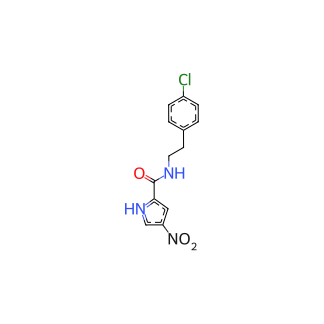 O=C(NCCc1ccc(Cl)cc1)c1cc([N+](=O)[O-])c[nH]1